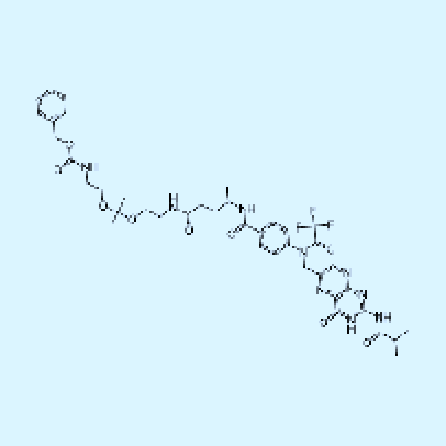 CC(C)C(=O)Nc1nc2ncc(CN(C(=O)C(F)(F)F)c3ccc(C(=O)N[C@H](C)CCC(=O)NCCOC(C)(C)OCCNC(=O)OCc4ccccc4)cc3)nc2c(=O)[nH]1